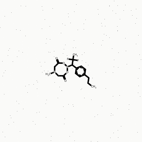 CCCc1ccc(C(B2OC(=O)CN(C)CC(=O)O2)C(C)(F)F)cc1